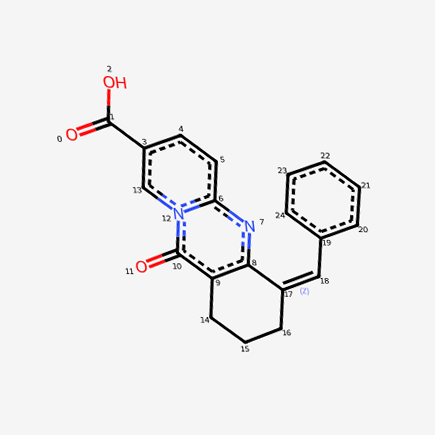 O=C(O)c1ccc2nc3c(c(=O)n2c1)CCC/C3=C/c1ccccc1